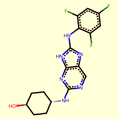 O[C@H]1CC[C@H](Nc2ncc3nc(Nc4c(F)cc(F)cc4F)[nH]c3n2)CC1